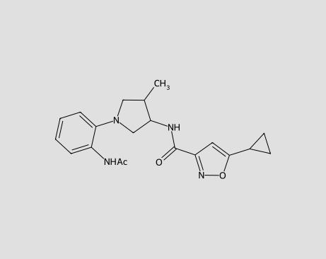 CC(=O)Nc1ccccc1N1CC(C)C(NC(=O)c2cc(C3CC3)on2)C1